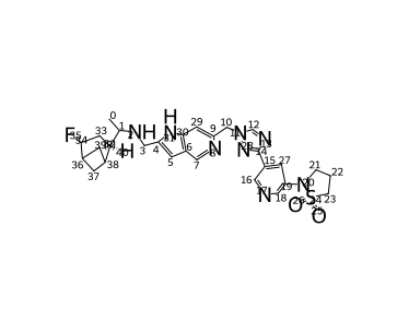 CC(NCc1cc2cnc(Cn3cnc(-c4cncc(N5CCCS5(=O)=O)c4)n3)cc2[nH]1)[C@@H]1CC(F)C2CC1C2